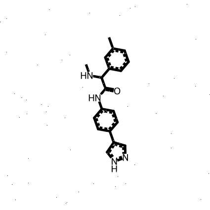 CNC(C(=O)Nc1ccc(-c2cn[nH]c2)cc1)c1cccc(C)c1